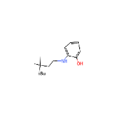 CCCCC(C)(C)CCNc1ccccc1O